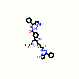 CN(C)Cc1c(CCCC(=O)NN=C(c2ccccc2)c2cc[nH]n2)[nH]c2ccc(C(=O)NN=C(c3ccccc3)c3cc[nH]n3)cc12